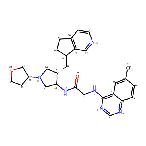 O=C(CNc1ncnc2ccc(C(F)(F)F)cc12)NC1CN(C2CCOC2)C[C@@H]1CC1CCc2ccncc21